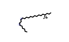 CCCCC/C=C\C/C=C\CCCCCCCCCCC(CCC)N(C)C